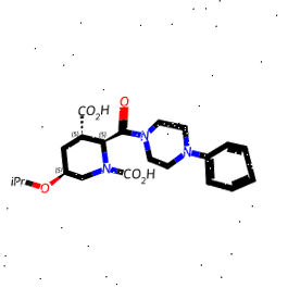 CC(C)O[C@H]1C[C@H](C(=O)O)[C@@H](C(=O)N2CCN(c3ccccc3)CC2)N(C(=O)O)C1